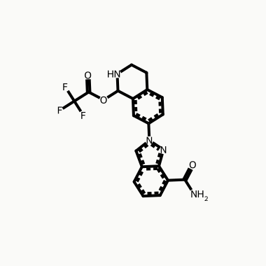 NC(=O)c1cccc2cn(-c3ccc4c(c3)C(OC(=O)C(F)(F)F)NCC4)nc12